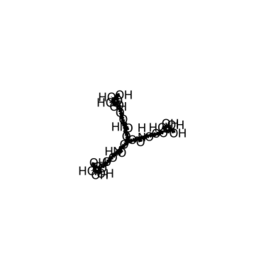 CC(COCCC(=O)NCCOCCOCCO[C@H]1OC(CO)[C@@H](O)[C@H](O)C1O)(COCCC(=O)NCCOCCOCCO[C@H]1OC(CO)[C@@H](O)[C@H](O)C1O)COCCC(=O)NCCOCCOCCO[C@H]1CC(CO)[C@@H](O)[C@H](O)C1O